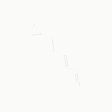 C=CC=CCCC1CO1